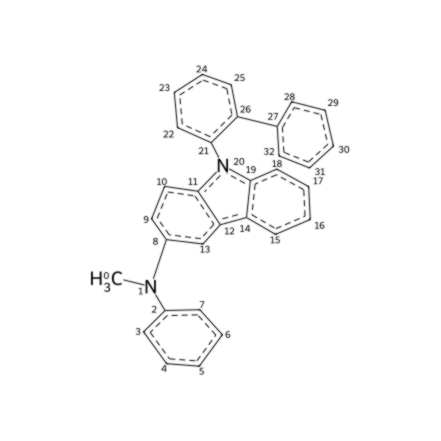 CN(c1ccccc1)c1ccc2c(c1)c1ccccc1n2-c1ccccc1-c1ccccc1